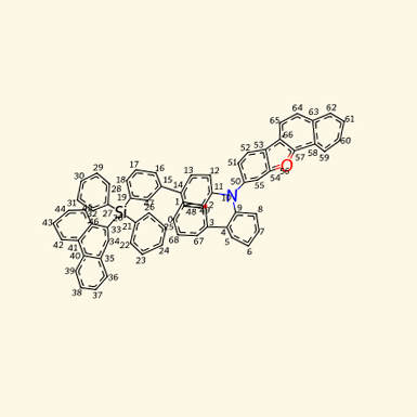 c1ccc(-c2ccccc2N(c2ccc(-c3cccc([Si](c4ccccc4)(c4ccccc4)c4cc5ccccc5c5ccccc45)c3)cc2)c2ccc3c(c2)oc2c4ccccc4ccc32)cc1